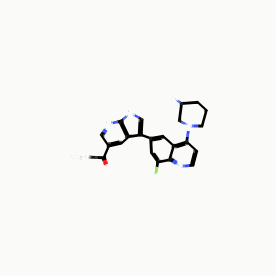 CNC(=O)c1cnc2[nH]cc(-c3cc(F)c4nccc(N5CCCC(N)C5)c4c3)c2c1